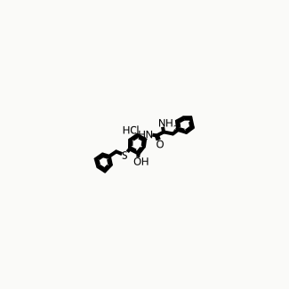 Cl.NC(Cc1ccccc1)C(=O)Nc1ccc(SCc2ccccc2)c(O)c1